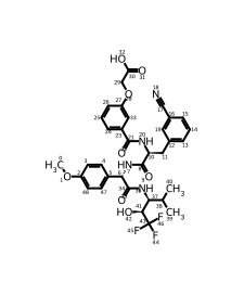 COc1ccc([C@H](NC(=O)[C@H](Cc2cccc(C#N)c2)NC(=O)c2cccc(OCC(=O)O)c2)C(=O)N[C@@H](C(C)C)[C@H](O)C(F)(F)F)cc1